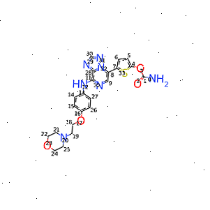 NC(=O)Oc1ccc(-c2cnc(Nc3ccc(OCCN4CCOCC4)cc3)c3ncnn23)s1